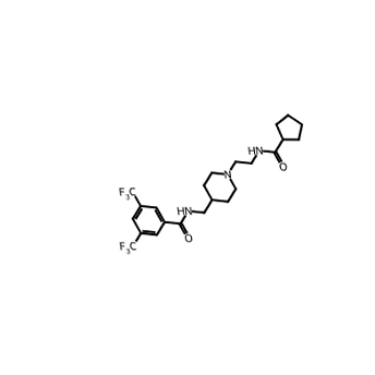 O=C(NCC1CCN(CCNC(=O)C2CCCC2)CC1)c1cc(C(F)(F)F)cc(C(F)(F)F)c1